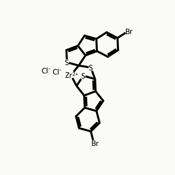 Brc1ccc2c(c1)=CC1=C3S[CH]([Zr+2][C]4(SC=C5C=c6cc(Br)ccc6=C54)S3)C=21.[Cl-].[Cl-]